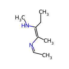 C/C=N\C(C)=C(\CC)NC